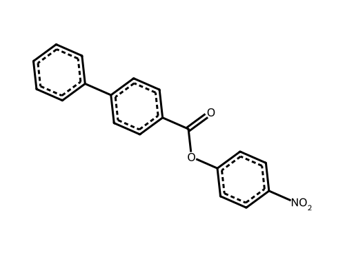 O=C(Oc1ccc([N+](=O)[O-])cc1)c1ccc(-c2ccccc2)cc1